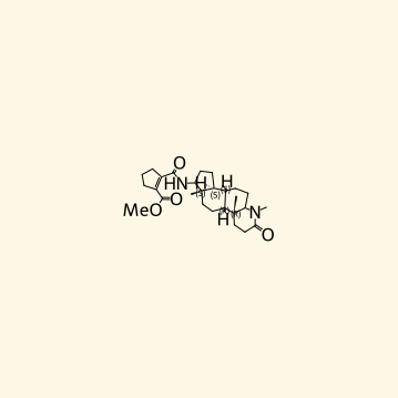 COC(=O)C1=C(C(=O)NC2CC[C@H]3[C@@H]4CCC5N(C)C(=O)CC[C@]5(C)[C@@H]4CC[C@]23C)CCC1